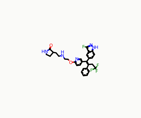 O=C1NCCC1CCNCCOc1ccc(/C(=C(/CC(F)(F)F)c2ccccc2)c2ccc3[nH]nc(F)c3c2)cn1